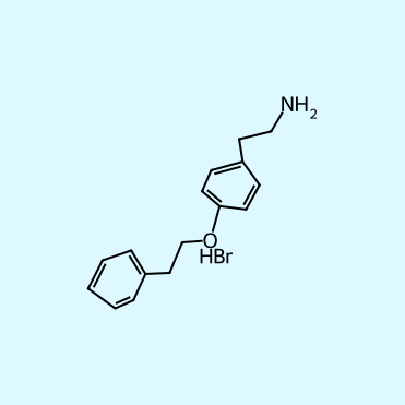 Br.NCCc1ccc(OCCc2ccccc2)cc1